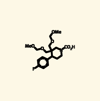 COCOCC1(COCOC)CN(C(=O)O)CCC1c1ccc(F)cc1